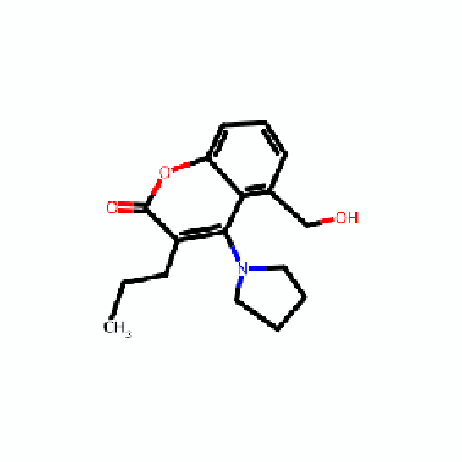 CCCc1c(N2CCCC2)c2c(CO)cccc2oc1=O